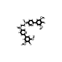 COc1cc(-c2ccc(N(C)CCN(C)c3ccc(-c4cc(OC)c(C)c(OC)c4)nc3)cn2)cc(OC)c1C